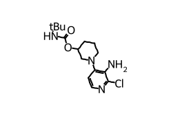 CC(C)(C)NC(=O)OC1CCCN(c2ccnc(Cl)c2N)C1